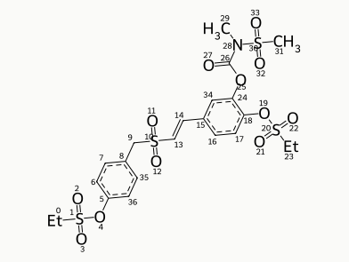 CCS(=O)(=O)Oc1ccc(CS(=O)(=O)/C=C/c2ccc(OS(=O)(=O)CC)c(OC(=O)N(C)S(C)(=O)=O)c2)cc1